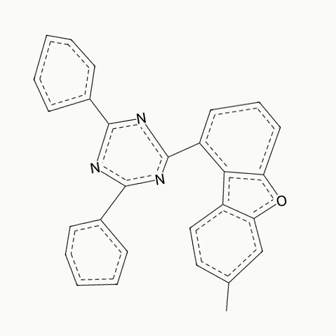 Cc1ccc2c(c1)oc1cccc(-c3nc(-c4ccccc4)nc(-c4ccccc4)n3)c12